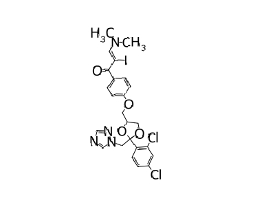 CN(C)C=C(I)C(=O)c1ccc(OCC2COC(Cn3cncn3)(c3ccc(Cl)cc3Cl)O2)cc1